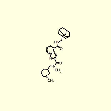 CN1CCCC(CN(C)C(=O)c2cn3c(C(=O)NCC45CC6CC(CC(C6)C4)C5)cccc3n2)C1